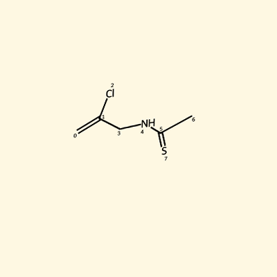 C=C(Cl)CNC(C)=S